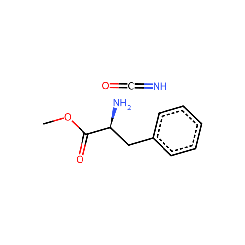 COC(=O)[C@@H](N)Cc1ccccc1.N=C=O